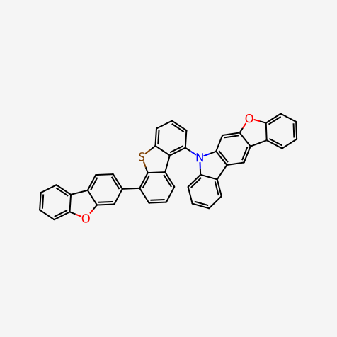 c1ccc2c(c1)oc1cc(-c3cccc4c3sc3cccc(-n5c6ccccc6c6cc7c(cc65)oc5ccccc57)c34)ccc12